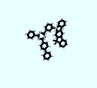 CC1(C)c2ccccc2-c2cc3c4ccccc4n(-c4cccc(-c5nc(-c6ccccc6)nc(-c6ccc(-c7ccccc7)cc6)n5)c4)c3cc21